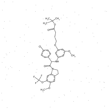 COc1cc(NC(C(=O)N2CCc3cc(OC)c(OC(F)(F)F)cc32)c2ccc(Cl)cc2)cc(OCCCC(=O)OC(C)(C)C)c1